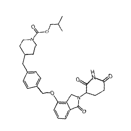 CC(C)COC(=O)N1CCC(Cc2ccc(COc3cccc4c3CN(C3CCC(=O)NC3=O)C4=O)cc2)CC1